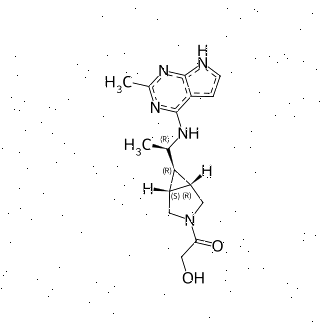 Cc1nc(N[C@H](C)[C@H]2[C@@H]3CN(C(=O)CO)C[C@@H]32)c2cc[nH]c2n1